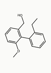 CCc1ccccc1-c1c(CO)cccc1OC